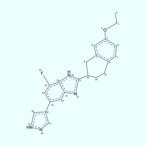 CCOc1ccc2c(c1)CC(c1nc3cc(-c4cn[nH]c4)cc(F)c3[nH]1)CC2